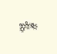 O=C(NCc1cn2ccccc2n1)C1=CC(=O)c2ccccc2C1